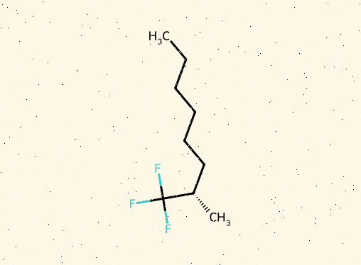 CCCCCC[C@H](C)C(F)(F)F